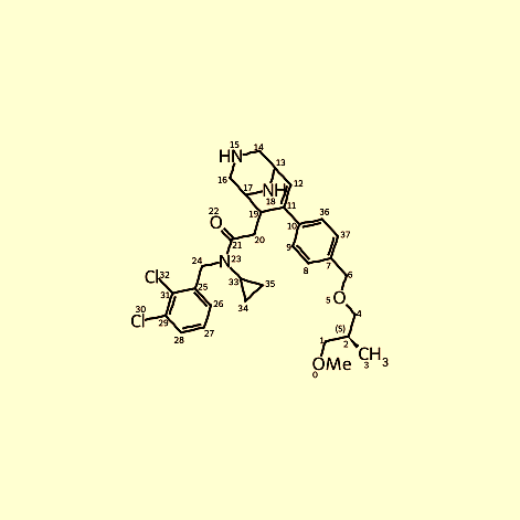 COC[C@H](C)COCc1ccc(C2=CC3CNCC(N3)C2CC(=O)N(Cc2cccc(Cl)c2Cl)C2CC2)cc1